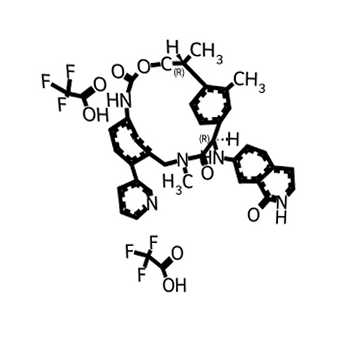 Cc1cc2ccc1[C@@H](C)COC(=O)Nc1ccc(-c3cccnc3)c(c1)CN(C)C(=O)[C@@H]2Nc1ccc2cc[nH]c(=O)c2c1.O=C(O)C(F)(F)F.O=C(O)C(F)(F)F